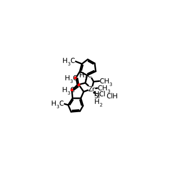 CC1=Cc2c(C)cccc2[CH]1[Zr]([CH3])(=[SiH2])([CH](C)C)[CH]1C(C)=Cc2c(C)cccc21.Cl.Cl